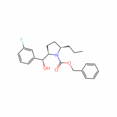 CCC[C@@H]1CC[C@H]([C@@H](O)c2cccc(F)c2)N1C(=O)OCc1ccccc1